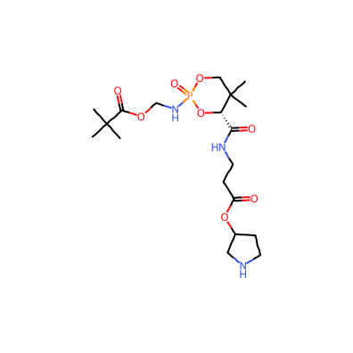 CC(C)(C)C(=O)OCNP1(=O)OCC(C)(C)[C@H](C(=O)NCCC(=O)OC2CCNC2)O1